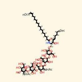 CCCCCCCC/C=C\CCCCCCCCCCCCCCCC(=O)N[C@@H](CO[C@@H]1OC(CO)[C@@H](O[C@@H]2OC(CO)[C@H](O)[C@H](O[C@@H]3OC(CO)[C@@H](O[C@@H]4OC(CO)[C@H](O)[C@H](O[C@@H]5OC(CO)[C@@H](O)[C@H](O)C5NC(C)=O)C4O)[C@H](O)C3NC(C)=O)C2O)[C@H](O)C1O)[C@H](O)/C=C/CCCCCCCCCCCCC